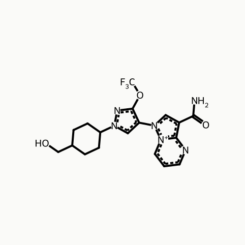 NC(=O)c1cn(-c2cn(C3CCC(CO)CC3)nc2OC(F)(F)F)[n+]2cccnc12